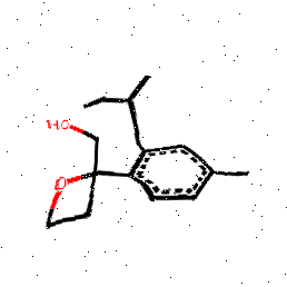 Cc1ccc(C2(CO)CCO2)c(C(C)C)c1